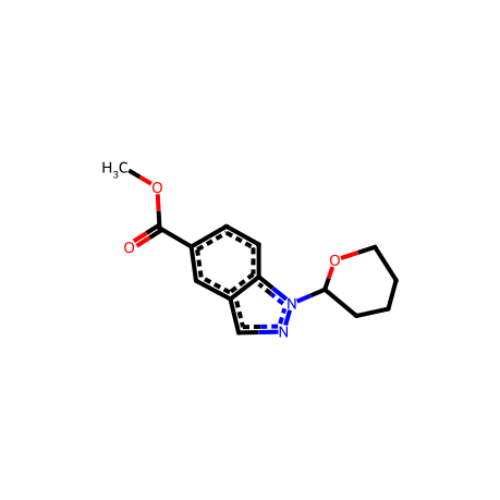 COC(=O)c1ccc2c(cnn2C2CCCCO2)c1